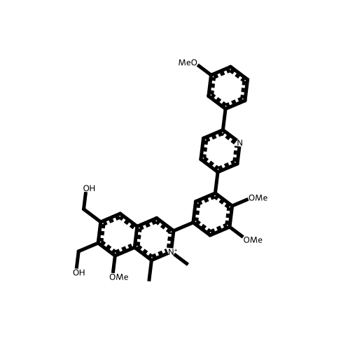 COc1cccc(-c2ccc(-c3cc(-c4cc5cc(CO)c(CO)c(OC)c5c(C)[n+]4C)cc(OC)c3OC)cn2)c1